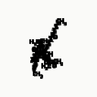 CC#CCOc1ccc(C[C@H](NC(=O)[C@@H](/C=C/CCCCCCC(=O)CCCCCCC)[C@@](O)(CC(=O)OC(C)OC(C)=O)C(=O)O)C(=O)OCC(=O)N(C)C)cc1